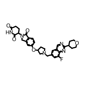 O=C1CCC(N2Cc3cc(OC4CCN(Cc5cc(F)c6nc(C7CCOCC7)ncc6c5)C4)ccc3C2=O)C(=O)N1